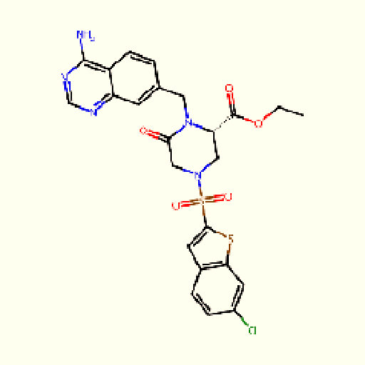 CCOC(=O)[C@@H]1CN(S(=O)(=O)c2cc3ccc(Cl)cc3s2)CC(=O)N1Cc1ccc2c(N)ncnc2c1